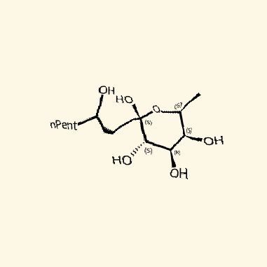 CCCCCC(O)C[C@]1(O)O[C@@H](C)[C@@H](O)[C@@H](O)[C@@H]1O